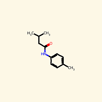 Cc1ccc(NC(=O)CC(C)C)cc1